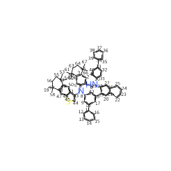 Cc1cc2c(cc1N(c1cc(-c3ccccc3)cc(-c3cc4ccccc4cc3Nc3ccc(-c4ccccc4)cc3)c1)c1csc3cc4c(cc13)C(C)(C)CCC4(C)C)C(C)(C)CCC2(C)C